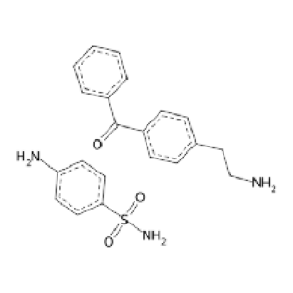 NCCc1ccc(C(=O)c2ccccc2)cc1.Nc1ccc(S(N)(=O)=O)cc1